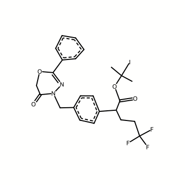 CC(C)(I)OC(=O)C(CCC(F)(F)F)c1ccc(CN2N=C(c3ccccc3)OCC2=O)cc1